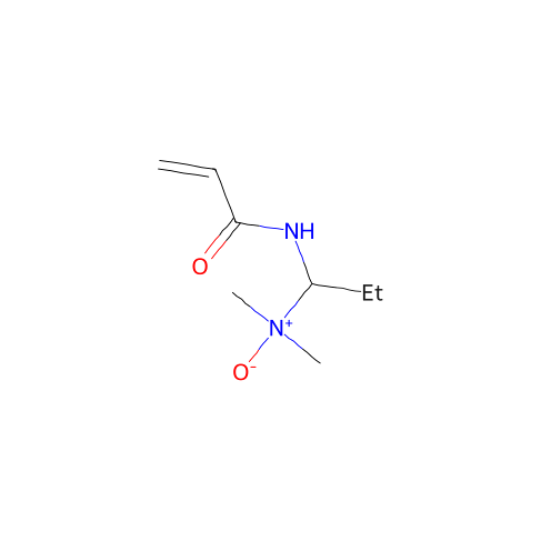 C=CC(=O)NC(CC)[N+](C)(C)[O-]